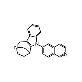 c1ccc2c(c1)c1c(n2-c2ccc3cnccc3c2)C2CCN(CC2)C1